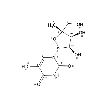 Cc1cn([C@@H]2O[C@](C)(CO)[C@@H](O)[C@H]2O)c(=O)[nH]c1=O